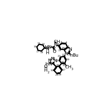 CCCCc1nc2ccc(N(C)C(=O)NNC3CCCCC3)cc2n1-c1ccc(-c2ccccc2-c2nnn[nH]2)c(C)c1.O